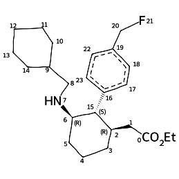 CCOC(=O)C[C@H]1CCC[C@@H](NCC2CCCCC2)[C@@H]1c1ccc(CF)cc1